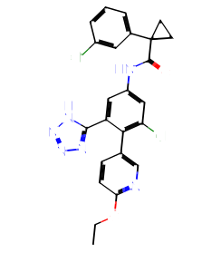 CCOc1ccc(-c2c(Cl)cc(NC(=O)C3(c4cccc(Cl)c4)CC3)cc2-c2nnn[nH]2)cn1